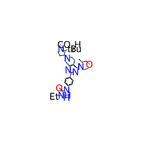 CCNC(=O)Nc1ccc(-c2nc3c(c(N4CCOC[C@@H]4C)n2)CCN(C2CCN(C(=O)O)C2C(C)(C)C)C3)cc1